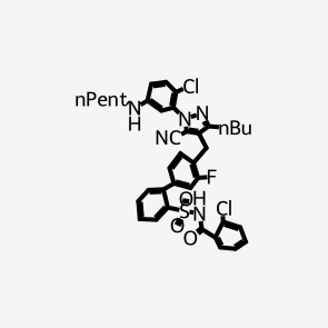 CCCCCNc1ccc(Cl)c(-n2nc(CCCC)c(Cc3ccc(-c4ccccc4S(=O)(=O)NC(=O)c4ccccc4Cl)cc3F)c2C#N)c1